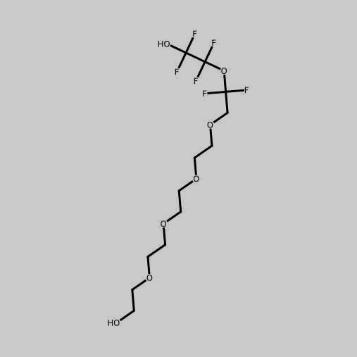 OCCOCCOCCOCCOCC(F)(F)OC(F)(F)C(O)(F)F